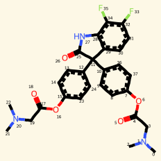 CN(C)CC(=O)Oc1ccc(C2(c3ccc(OC(=O)CN(C)C)cc3)C(=O)Nc3c2ccc(F)c3F)cc1